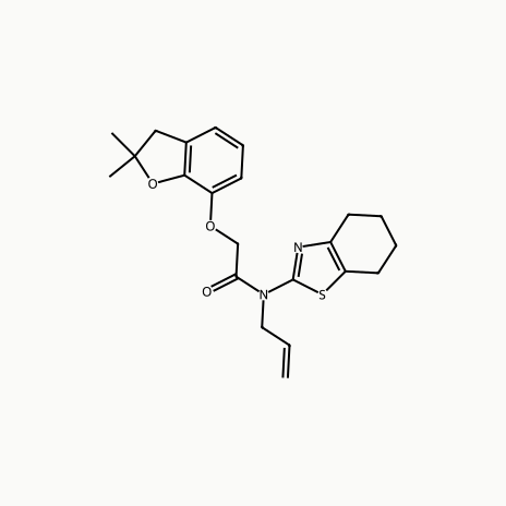 C=CCN(C(=O)COc1cccc2c1OC(C)(C)C2)c1nc2c(s1)CCCC2